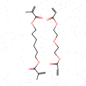 C=C(C)C(=O)OCCCCCCOC(=O)C(=C)C.C=CC(=O)OCCOCCOC(=O)C=C